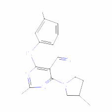 Cc1nc(Nc2cccc(C(F)(F)F)c2)c(C=N)c(N2CCC(C)C2)n1